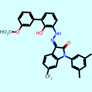 Cc1cc(C)cc(N2C(=O)C(=NNc3cccc(-c4cccc(OC(=O)O)c4)c3O)c3ccc(C(F)(F)F)cc32)c1